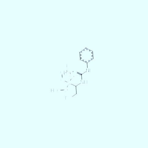 CCC(NC(=O)Nc1ccccc1)[Si](OC)(OC)OC